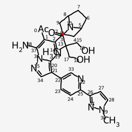 CC(=O)c1c(C2CC3CCC(C2)N3C(=O)C(C)(CO)CO)nc2c(-c3ccc(-c4ccn(C)n4)nc3)cnn2c1N